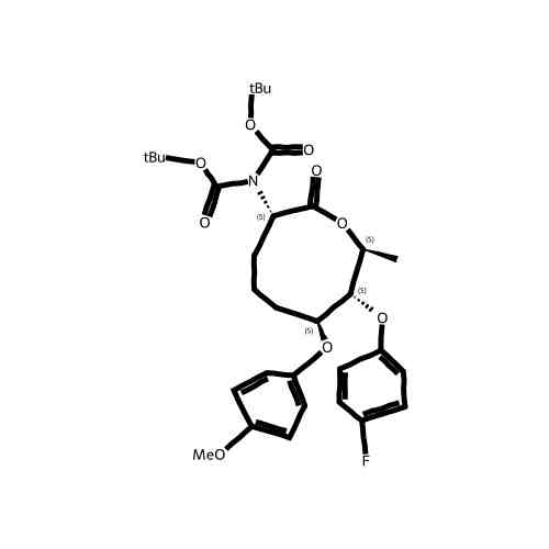 COc1ccc(O[C@H]2CCC[C@H](N(C(=O)OC(C)(C)C)C(=O)OC(C)(C)C)C(=O)O[C@@H](C)[C@@H]2Oc2ccc(F)cc2)cc1